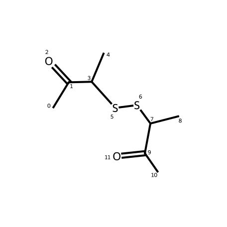 CC(=O)C(C)SSC(C)C(C)=O